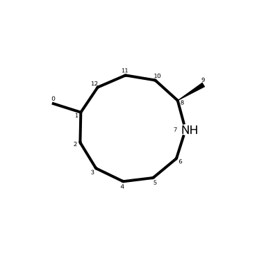 CC1CCCCCN[C@H](C)CCC1